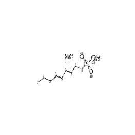 CCCCCCCCCS(=O)(=O)O.[NaH]